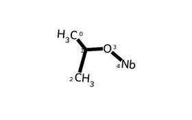 CC(C)[O][Nb]